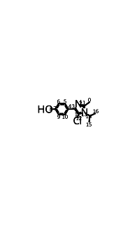 Cc1nc(-c2ccc(O)cc2)c(Cl)n1C(C)C